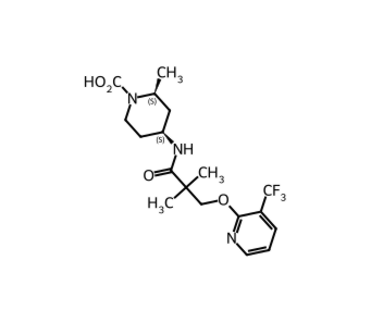 C[C@H]1C[C@@H](NC(=O)C(C)(C)COc2ncccc2C(F)(F)F)CCN1C(=O)O